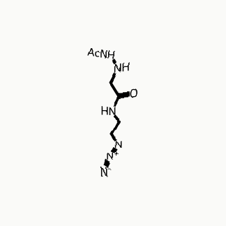 CC(=O)NNCC(=O)NCCN=[N+]=[N-]